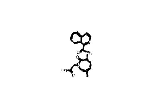 CC1=CCC(NC(=O)c2nccc3ccccc23)C(=O)N(CC(=O)O)C1